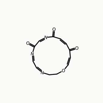 O=C1C=COCCN=CC=NC(=O)C=NC(=O)C=C1